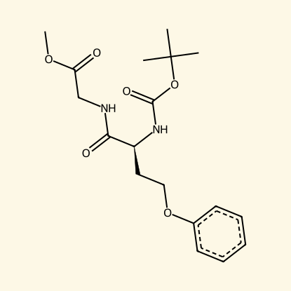 COC(=O)CNC(=O)[C@H](CCOc1ccccc1)NC(=O)OC(C)(C)C